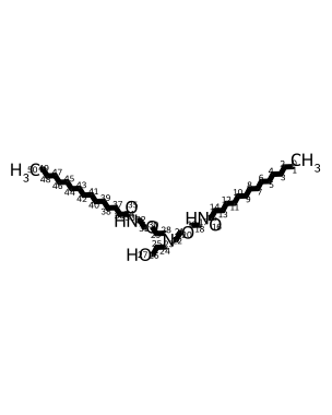 CCCCCCCCCCCCCCCC(=O)NCCOCCN(CCCO)CCOCCNC(=O)CCCCCCCCCCCCCCC